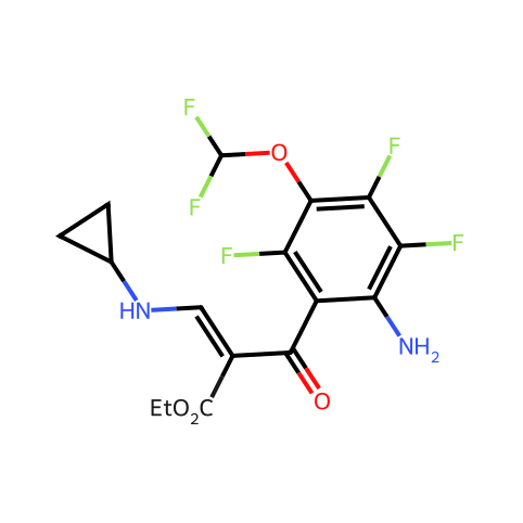 CCOC(=O)C(=CNC1CC1)C(=O)c1c(N)c(F)c(F)c(OC(F)F)c1F